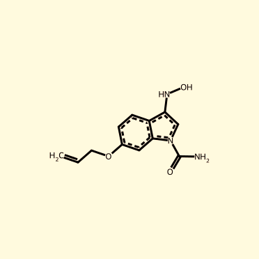 C=CCOc1ccc2c(NO)cn(C(N)=O)c2c1